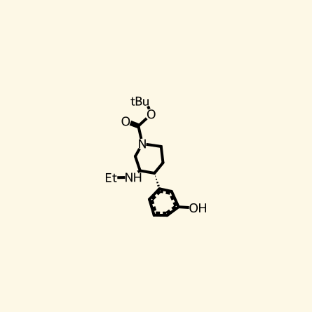 CCN[C@H]1CN(C(=O)OC(C)(C)C)CC[C@@H]1c1cccc(O)c1